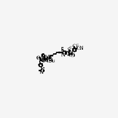 Cc1ncsc1-c1ccc(CNC(=O)[C@@H]2CCCN2C(=O)C(NC(=O)CCCCCC#Cc2ncc(N3C(=S)N(c4ccc(C#N)c(C(F)(F)F)c4F)C(=O)C3(C)C)cc2F)C(C)(C)C)cc1